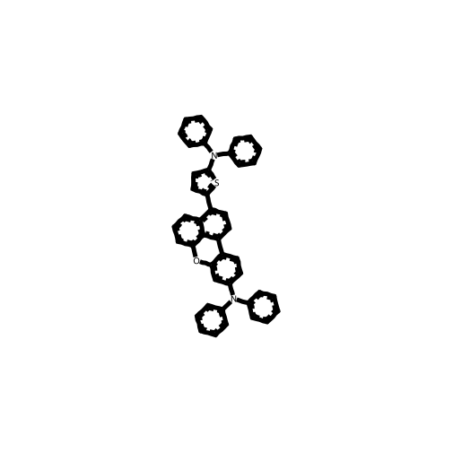 c1ccc(N(c2ccccc2)c2ccc3c(c2)Oc2cccc4c(-c5ccc(N(c6ccccc6)c6ccccc6)s5)ccc-3c24)cc1